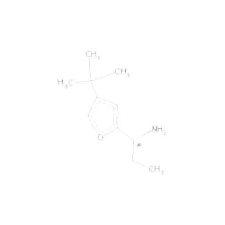 CC[C@@H](N)c1cc(C(C)(C)C)co1